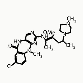 CO/C(CC(C)N1CCN(C)CC1)=C(/C)Nc1ncc2c(n1)N(C)c1ccc(Cl)cc1C(=O)N2